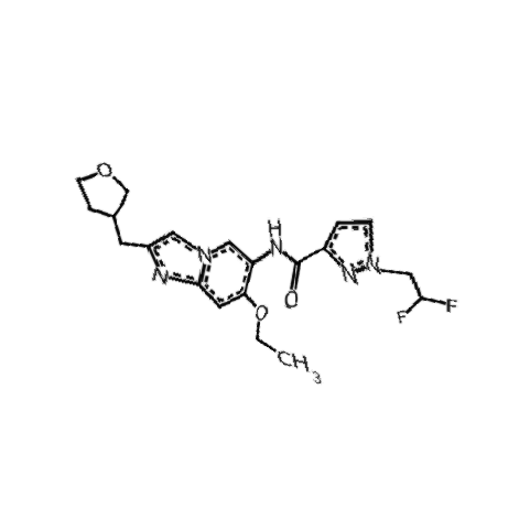 CCOc1cc2nc(CC3CCOC3)cn2cc1NC(=O)c1ccn(CC(F)F)n1